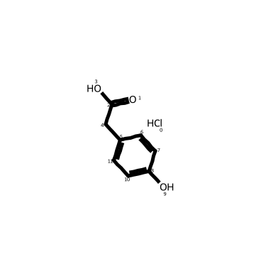 Cl.O=C(O)Cc1ccc(O)cc1